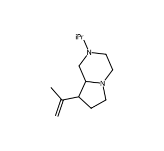 C=C(C)C1CCN2CCN(C(C)C)CC12